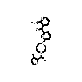 Cc1ccsc1C(=O)N1CCCN(c2cccc(C(=O)c3cccnc3N)n2)CC1